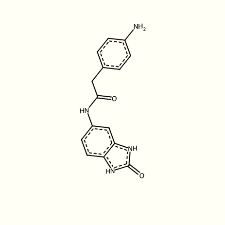 Nc1ccc(CC(=O)Nc2ccc3[nH]c(=O)[nH]c3c2)cc1